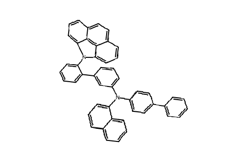 c1ccc(-c2ccc(N(c3cccc(-c4ccccc4-n4c5cccc6ccc7cccc4c7c65)c3)c3cccc4ccccc34)cc2)cc1